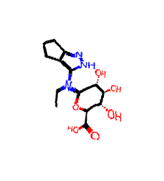 CCN(c1[nH]nc2c1CCC2)C1O[C@H](C(=O)O)[C@@H](O)[C@H](O)[C@H]1O